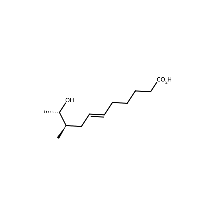 C[C@H](O)[C@H](C)C/C=C/CCCCC(=O)O